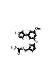 CSc1cc(Sc2ccc(COC(N)=O)s2)cc(-c2cn[nH]c2)c1